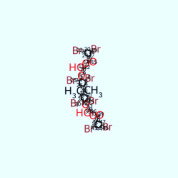 CC(C)(c1cc(Br)c(OCC(O)COC(=O)c2cc(Br)cc(Br)c2)c(Br)c1)c1cc(Br)c(OCC(O)COC(=O)c2cc(Br)cc(Br)c2)c(Br)c1